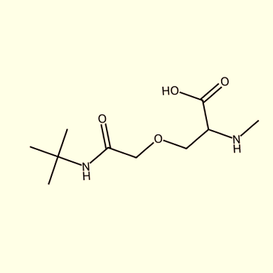 CNC(COCC(=O)NC(C)(C)C)C(=O)O